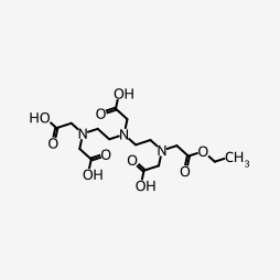 CCOC(=O)CN(CCN(CCN(CC(=O)O)CC(=O)O)CC(=O)O)CC(=O)O